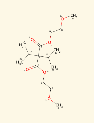 COCCOC(=O)C(C(=O)OCCOC)(C(C)C)C(C)C